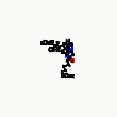 CCCCCCCCCCCCCCCC(=O)C1CNC(C(C)(CC=O)CCCCCCCCCCCCCC)=N1